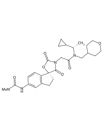 CNC(=O)Nc1ccc2c(c1)CC[C@@]21OC(=O)N(CC(=O)N(CC2CCOCC2)[C@@H](C)C2CC2)C1=O